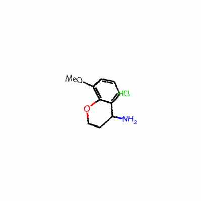 COc1cccc2c1OCCC2N.Cl